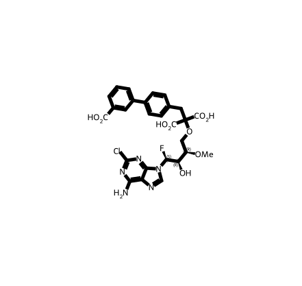 CO[C@H](COC(Cc1ccc(-c2cccc(C(=O)O)c2)cc1)(C(=O)O)C(=O)O)[C@@H](O)[C@H](F)n1cnc2c(N)nc(Cl)nc21